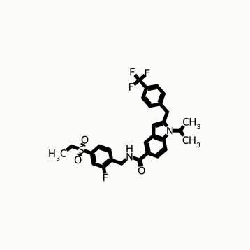 CCS(=O)(=O)c1ccc(CNC(=O)c2ccc3c(c2)cc(Cc2ccc(C(F)(F)F)cc2)n3C(C)C)c(F)c1